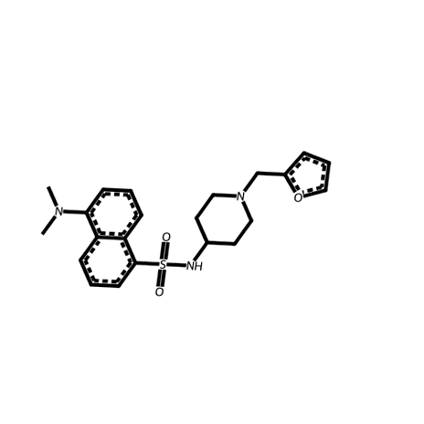 CN(C)c1cccc2c(S(=O)(=O)NC3CCN(Cc4ccco4)CC3)cccc12